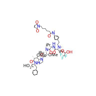 CC[C@H](C)[C@@H]([C@@H](CC(=O)N1CCCC1[C@H](OC)[C@@H](C)C(=O)N[C@@H](Cc1ccccc1)C(=O)O)OC)N(C)C(=O)C(NC(=O)C(C(C)C)N(C)CCc1ccc(N(C)C(=O)CCCCCN2C(=O)C=CC2=O)cc1)C(C)C.O=C(O)C(F)(F)F